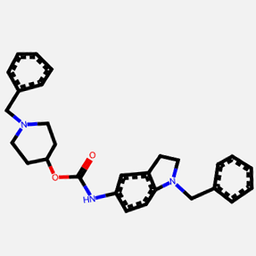 O=C(Nc1ccc2c(c1)CCN2Cc1ccccc1)OC1CCN(Cc2ccccc2)CC1